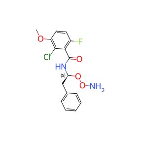 COc1ccc(F)c(C(=O)N[C@H](Cc2ccccc2)OON)c1Cl